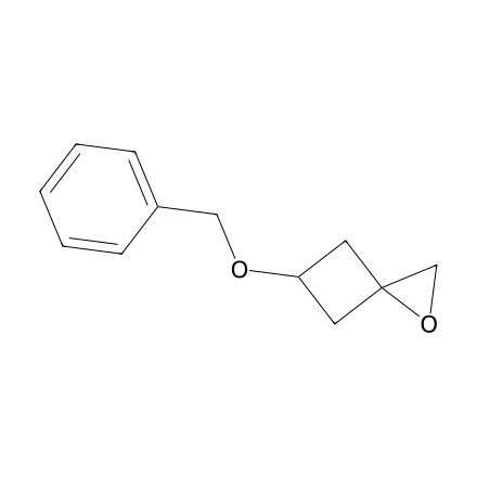 c1ccc(COC2CC3(CO3)C2)cc1